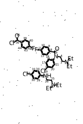 CCN(CC)CCN(C(=O)c1ccc(F)cc1)c1ccc(Cl)cc1.CCN(CC)CCNc1ccc(Cl)cc1.O=C(Cl)c1ccc(F)cc1